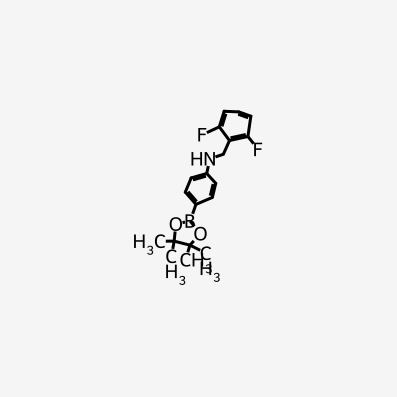 CC1(C)OB(c2ccc(NCc3c(F)cccc3F)cc2)OC1(C)C